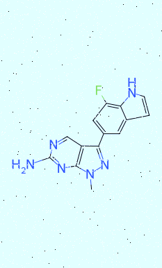 Cn1nc(-c2cc(F)c3[nH]ccc3c2)c2cnc(N)nc21